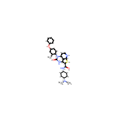 Cc1cc(Oc2ccccc2)ccc1N1C(=O)Nc2c(C(=O)N[C@H]3CC[C@@H](N(C)C)CC3)sc3nccc1c23